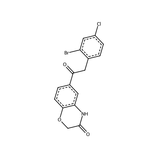 O=C1COc2ccc(C(=O)Cc3ccc(Cl)cc3Br)cc2N1